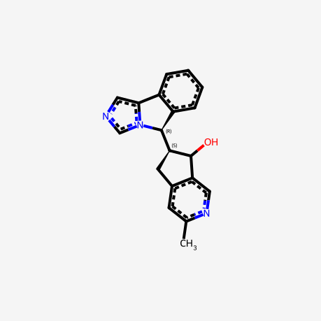 Cc1cc2c(cn1)C(O)[C@H]([C@@H]1c3ccccc3-c3cncn31)C2